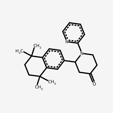 CC1(C)CCC(C)(C)c2cc(C3CC(=O)CCN3c3ccccn3)ccc21